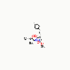 CNC(=O)[C@@H](NC(=O)[C@H](CCCc1ccc(C)cc1)CC(=O)OC(C)(C)C)C(C)(C)C